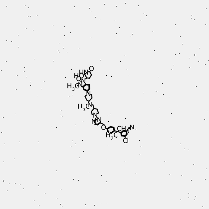 CN(CC1CCN(c2nccc(COc3ccc(C(C)(C)c4cc(Cl)cc(C#N)c4)cc3)n2)CC1)C1CCN(c2ccc3c(c2)n(C)c(=O)n3C2CCC(=O)NC2O)CC1